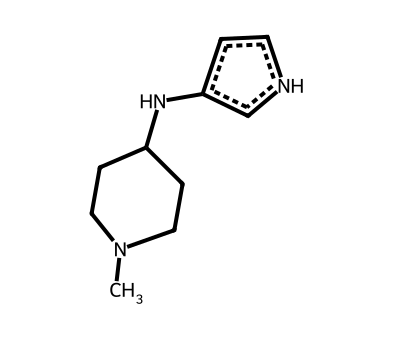 CN1CCC(Nc2cc[nH]c2)CC1